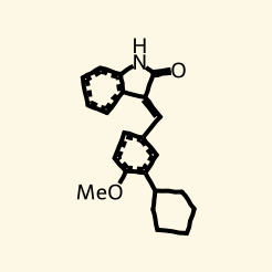 COc1ccc(/C=C2/C(=O)Nc3ccccc32)cc1C1CCCCC1